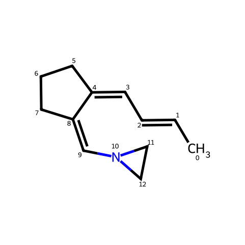 C/C=C/C=C1/CCC/C1=C/N1CC1